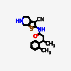 Cc1ccccc1C(C)CC(=O)Nc1sc2c(c1C#N)CCNC2